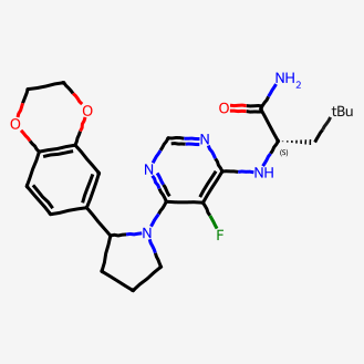 CC(C)(C)C[C@H](Nc1ncnc(N2CCCC2c2ccc3c(c2)OCCO3)c1F)C(N)=O